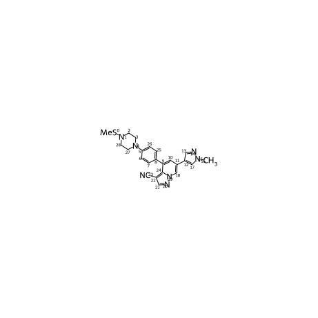 CSN1CCN(c2ccc(-c3cc(-c4cnn(C)c4)cn4ncc(C#N)c34)cc2)CC1